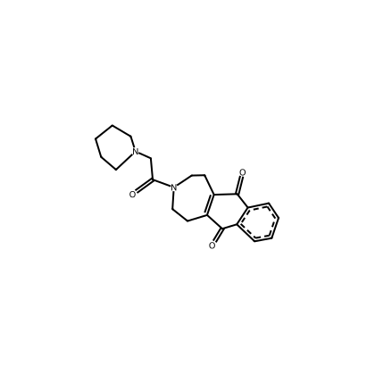 O=C1C2=C(CCN(C(=O)CN3CCCCC3)CC2)C(=O)c2ccccc21